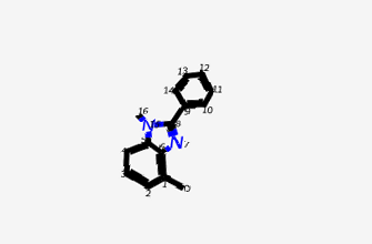 Cc1cccc2c1nc(-c1ccccc1)n2C